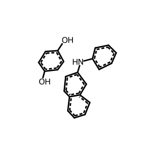 Oc1ccc(O)cc1.c1ccc(Nc2ccc3ccccc3c2)cc1